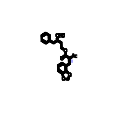 CC(=O)/C(=C/c1cccc2c1OCO2)C(=O)OCCN(C=O)Cc1ccccc1